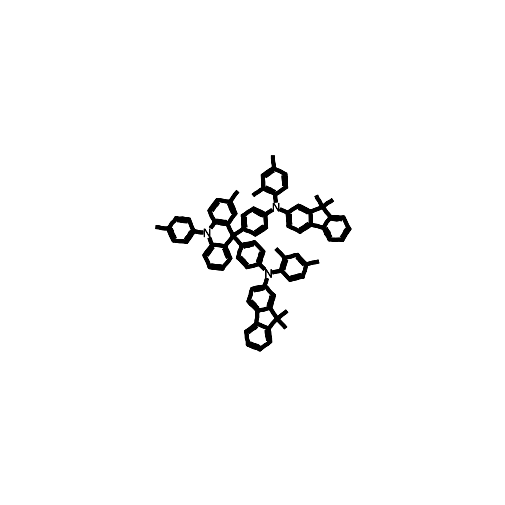 Cc1ccc(N2c3ccccc3C(c3ccc(N(c4ccc5c(c4)C(C)(C)c4ccccc4-5)c4ccc(C)cc4C)cc3)(c3ccc(N(c4ccc5c(c4)C(C)(C)c4ccccc4-5)c4ccc(C)cc4C)cc3)c3cc(C)ccc32)cc1